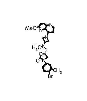 COc1ccc2nccc(N3CC(N(C)C[C@@H]4CN(c5ccc(Br)c(C)c5)C(=O)O4)C3)c2n1